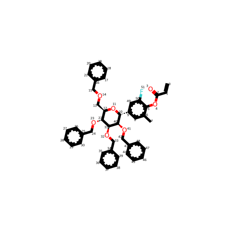 C=CC(=O)Oc1c(C)cc([C@H]2O[C@H](COCc3ccccc3)[C@@H](OCc3ccccc3)[C@H](OCc3ccccc3)[C@@H]2OCc2ccccc2)cc1F